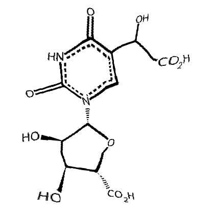 O=C(O)C(O)c1cn([C@@H]2O[C@H](C(=O)O)[C@@H](O)[C@H]2O)c(=O)[nH]c1=O